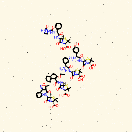 CC1(C)S[C@@H]2[C@H](NC(=O)[C@H](N)c3ccc(O)cc3)C(=O)N2[C@H]1C(=O)O.CC1(C)S[C@@H]2[C@H](NC(=O)[C@H](N)c3ccccc3)C(=O)N2[C@H]1C(=O)O.CC1(C)S[C@@H]2[C@H](NC(=O)[C@H](NC(=O)N3CCNC3=O)c3ccccc3)C(=O)N2[C@H]1C(=O)O.CCOc1ccc2ccccc2c1C(=O)N[C@@H]1C(=O)N2[C@@H]1SC(C)(C)[C@@H]2C(=O)O.Cc1onc(-c2ccccc2)c1C(=O)N[C@@H]1C(=O)N2[C@@H]1SC(C)(C)[C@@H]2C(=O)O